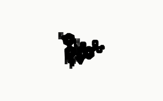 COC(=O)c1ccc(C2CC2)c(S(=O)(=O)Nc2cc(C(F)(F)F)ccc2-c2cccc(F)c2)c1